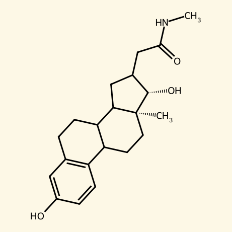 CNC(=O)CC1CC2C3CCc4cc(O)ccc4C3CC[C@]2(C)[C@H]1O